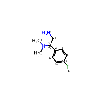 CN(C)[C@@H](CN)c1ccc(F)cc1